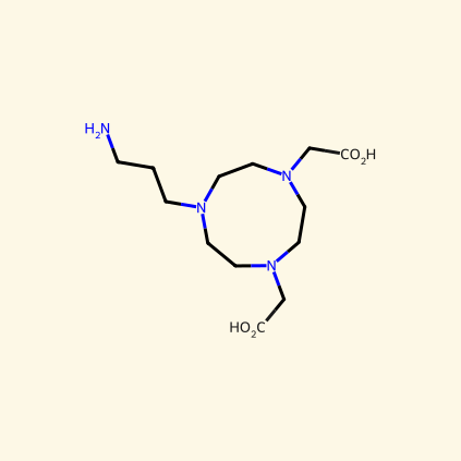 NCCCN1CCN(CC(=O)O)CCN(CC(=O)O)CC1